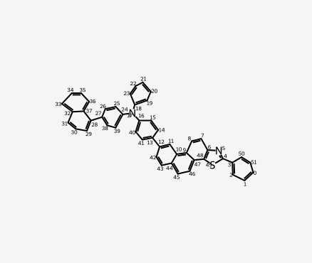 c1ccc(-c2nc3ccc4c5cc(-c6ccc(N(c7ccccc7)c7ccc(-c8cccc9ccccc89)cc7)cc6)ccc5ccc4c3s2)cc1